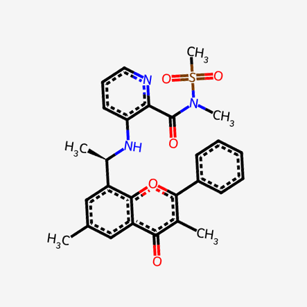 Cc1cc([C@@H](C)Nc2cccnc2C(=O)N(C)S(C)(=O)=O)c2oc(-c3ccccc3)c(C)c(=O)c2c1